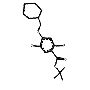 CC(C)(C)OC(=O)c1cc(Cl)c(OCC2CCCCC2)cc1F